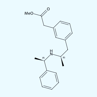 COC(=O)Cc1cccc(C[C@@H](C)N[C@H](C)c2ccccc2)c1